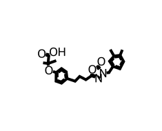 Cc1ccc(Cn2nc(CCCc3ccc(OC(C)(C)C(=O)O)cc3)oc2=O)cc1C